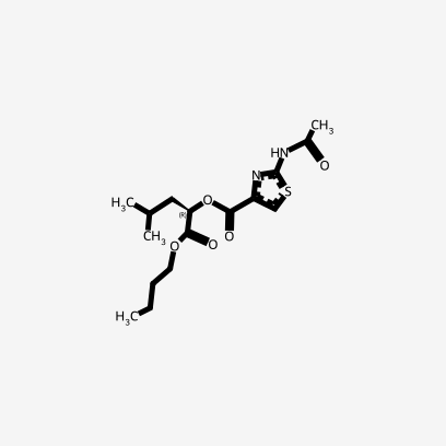 CCCCOC(=O)[C@@H](CC(C)C)OC(=O)c1csc(NC(C)=O)n1